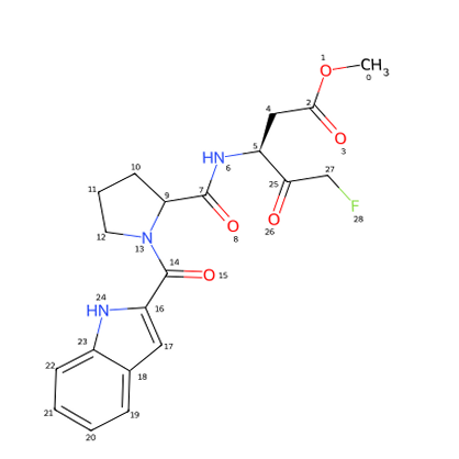 COC(=O)C[C@H](NC(=O)C1CCCN1C(=O)c1cc2ccccc2[nH]1)C(=O)CF